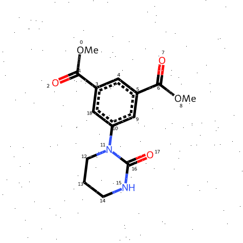 COC(=O)c1cc(C(=O)OC)cc(N2CCCNC2=O)c1